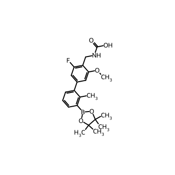 COc1cc(-c2cccc(B3OC(C)(C)C(C)(C)O3)c2C)cc(F)c1CNC(=O)O